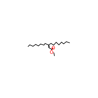 CCCCCCCCC(=CC(=O)OCC)CCCCCCCC